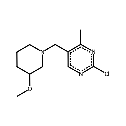 COC1CCCN(Cc2cnc(Cl)nc2C)C1